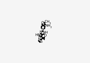 C[C@@H]1OCC2(CCN(c3nc4[nH]nc(C5(c6nccs6)CC5)c4c(=O)[nH]3)CC2)[C@@H]1N